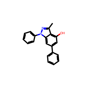 Cc1nn(-c2ccccc2)c2cc(-c3ccccc3)cc(O)c12